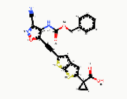 N#Cc1noc(C#Cc2cc3cc(C4(C(=O)O)CC4)sc3s2)c1NC(=O)OCc1ccccc1